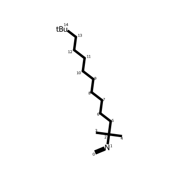 C=NC(C)(C)CCCCCCCCCC(C)(C)C